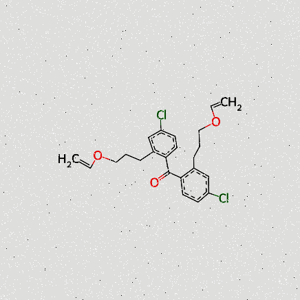 C=COCCCc1cc(Cl)ccc1C(=O)c1ccc(Cl)cc1CCCOC=C